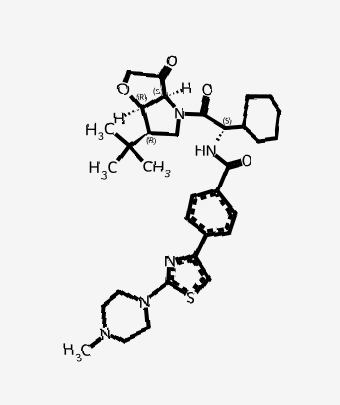 CN1CCN(c2nc(-c3ccc(C(=O)N[C@H](C(=O)N4C[C@@H](C(C)(C)C)[C@H]5OCC(=O)[C@H]54)C4CCCCC4)cc3)cs2)CC1